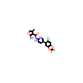 Cc1coc(C(C)C)c1C(=O)Nc1ccc(-c2cc3c(cc2Cl)OC(F)(F)O3)cn1